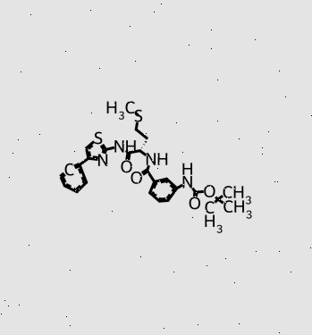 CSCC[C@H](NC(=O)c1cccc(NC(=O)OC(C)(C)C)c1)C(=O)Nc1nc(-c2ccccc2)cs1